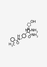 Cc1ccccc1C(=O)NCc1ccc(-c2nn(C3CCC(O)C3)c(N)c2C(N)=O)cc1